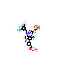 CCN(C[C@H]1CC[C@H](CC(=O)O)CC1)c1ccc(C(F)(F)F)cc1CN(CCc1cc(C(F)(F)F)cc(C(F)(F)F)c1)c1ncc(OCCS(C)(=O)=O)cn1